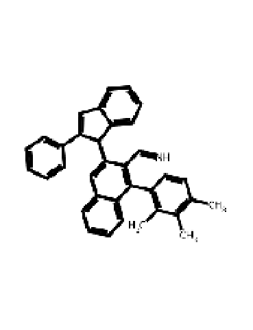 Cc1ccc(-c2c(C=N)c(C3C(c4ccccc4)=Cc4ccccc43)cc3ccccc23)c(C)c1C